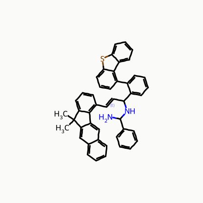 CC1(C)c2cc3ccccc3cc2-c2c(/C=C/C(NC(N)c3ccccc3)c3ccccc3-c3cccc4sc5ccccc5c34)cccc21